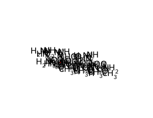 COc1ccc(NC(=O)[C@H](CCCNC(=N)N)NC(=O)c2cc(NC(=O)[C@H](CCC(=O)O)NC(=O)c3cc(NC(=O)[C@H](CCCNC(=N)N)NC(=O)c4cc(NC(=O)[C@@H](N)CCCNC(=N)N)ccc4OC)ccc3OC)ccc2OC)cc1C(N)=O